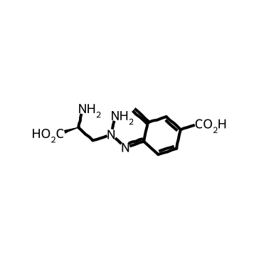 C=C1C=C(C(=O)O)C=C/C1=N/N(N)C[C@H](N)C(=O)O